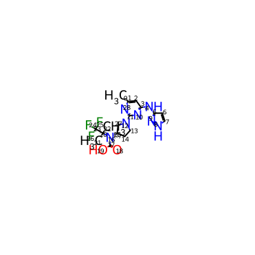 Cc1cc(Nc2cc[nH]n2)nc(N2CC[C@H](N(C(=O)O)C(C)(C)C(F)(F)F)C2)n1